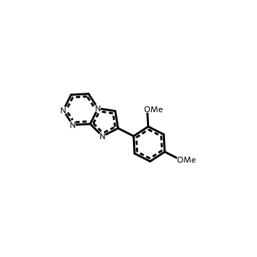 COc1ccc(-c2cn3ccnnc3n2)c(OC)c1